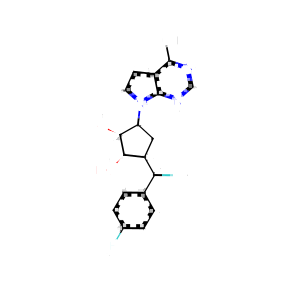 Cc1ncnc2c1ccn2C1CC(C(F)c2ccc(F)cc2)[C@@H](O)[C@H]1O